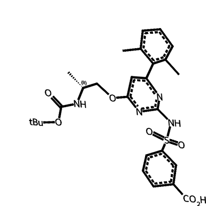 Cc1cccc(C)c1-c1cc(OC[C@@H](C)NC(=O)OC(C)(C)C)nc(NS(=O)(=O)c2cccc(C(=O)O)c2)n1